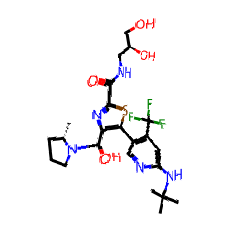 C[C@H]1CCCN1C(O)c1nc(C(=O)NC[C@H](O)CO)sc1-c1cnc(NC(C)(C)C)cc1C(F)(F)F